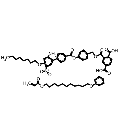 C=CC(=O)OCCCCCCCCCCCOc1ccccc1.CCCCCCCCOc1cc(N)c(-c2ccc(C(=O)Oc3ccc(COC(=O)c4cc(C(=O)O)ccc4C(=O)O)cc3)cc2)cc1[N+](=O)[O-]